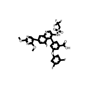 COc1ncc(-c2cc(F)c3c(-c4cc(Oc5cc(F)cc(F)c5)cc(C(=O)O)c4)c(NS(=O)(=O)CC(F)(F)F)cnc3c2)c(OC)n1